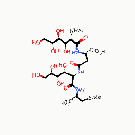 CSC[C@H](NC(=O)[C@@H](NC(=O)C[C@H](NC(=O)[C@@H](NC(C)=O)[C@@H](O)[C@H](O)[C@H](O)CO)C(=O)O)[C@@H](O)[C@H](O)[C@H](O)CO)C(=O)O